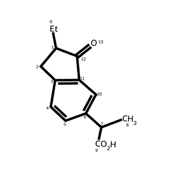 CCC1Cc2ccc(C(C)C(=O)O)cc2C1=O